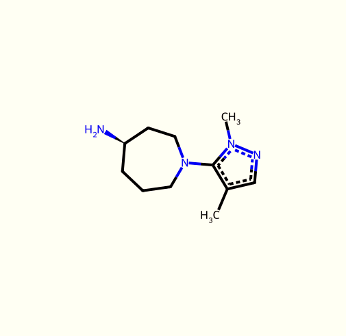 Cc1cnn(C)c1N1CCC[C@@H](N)CC1